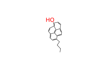 CCCCc1ccc2ccc3c(O)ccc4ccc1c2c43